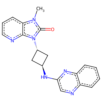 Cn1c(=O)n([C@H]2C[C@H](Nc3cnc4ccccc4n3)C2)c2ncccc21